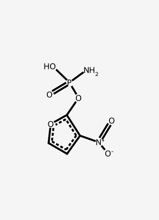 NP(=O)(O)Oc1occc1[N+](=O)[O-]